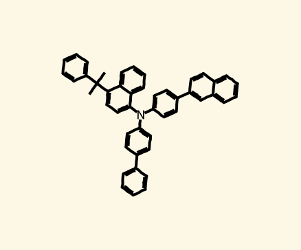 CC(C)(c1ccccc1)c1ccc(N(c2ccc(-c3ccccc3)cc2)c2ccc(-c3ccc4ccccc4c3)cc2)c2ccccc12